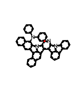 c1ccc(N(c2ccccc2)c2c3ccccc3cc3c4c5ccccc5cc5c6c7c8cccc9c%10ccccc%10n(c7ncc6n(c23)c54)c98)cc1